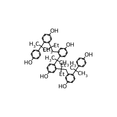 CCC(CC)(Cc1cc(O)ccc1C(C)(C)c1ccc(O)cc1C(CC)(CC)Cc1cc(O)ccc1C(C)(C)c1ccc(O)cc1)c1cc(O)ccc1C(C)(C)c1ccc(O)cc1